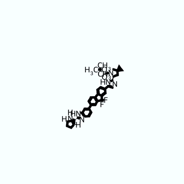 CC(C)(C)OC(=O)N1CC2(CC2)C[C@H]1c1ncc(-c2ccc3c(c2)C(F)(F)c2cc(-c4ccc5nc([C@H]6N[C@@H]7CC[C@H]6C7)[nH]c5c4)ccc2-3)[nH]1